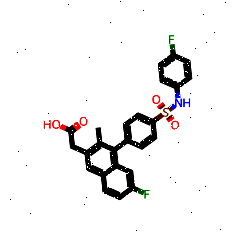 Cc1c(CC(=O)O)cc2ccc(F)cc2c1-c1ccc(S(=O)(=O)Nc2ccc(F)cc2)cc1